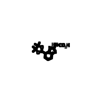 CC1(C)OB(c2cccc3sc(NC(=O)O)nc23)OC1(C)C